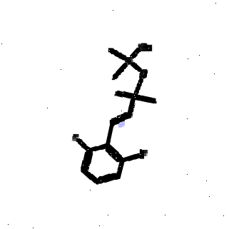 CC(C)(/C=C/c1c(F)cccc1F)O[Si](C)(C)C(C)(C)C